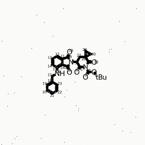 CC(C)(C)OC(=O)N1C(=O)C(N2C(=O)c3cccc(NCc4ccccc4)c3C2=O)CC2(CC2)C1=O